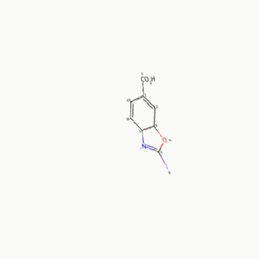 O=C(O)C1=CC2OC(I)=NC2C=C1